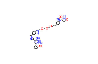 CC(c1ccc(CNCCOCCOCCOCCCc2ccc3c(c2)n(C)c(=O)n3C2CCC(=O)NC2=O)cc1)n1cc(/C(=C/C(=N)c2ccccc2O)C(=N)N)cn1